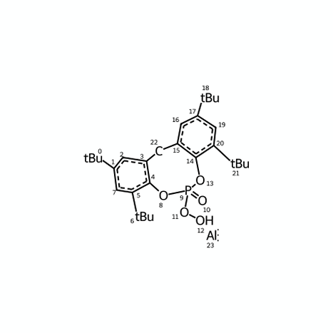 CC(C)(C)c1cc2c(c(C(C)(C)C)c1)OP(=O)(OO)Oc1c(cc(C(C)(C)C)cc1C(C)(C)C)C2.[Al]